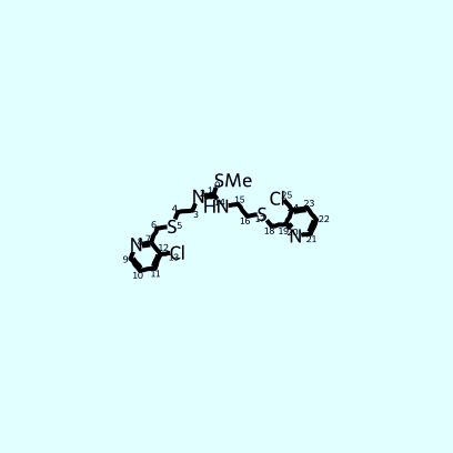 CSC(=NCCSCc1ncccc1Cl)NCCSCc1ncccc1Cl